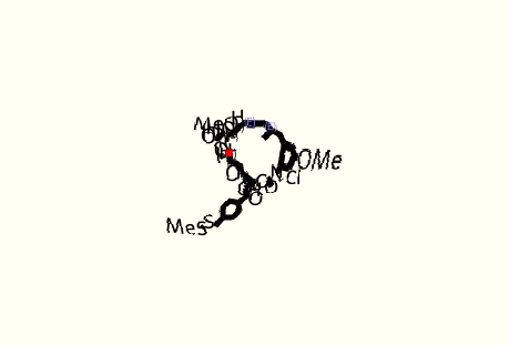 COc1cc2cc(c1Cl)N(C)C(=O)C[C@H](OC(=O)C1CCC(CSSC)CC1)[C@@]1(C)C[C@@H](O1)[C@@H]1C[C@@](O)(NC(=O)O1)[C@H](OC)/C=C/C=C(\C)C2